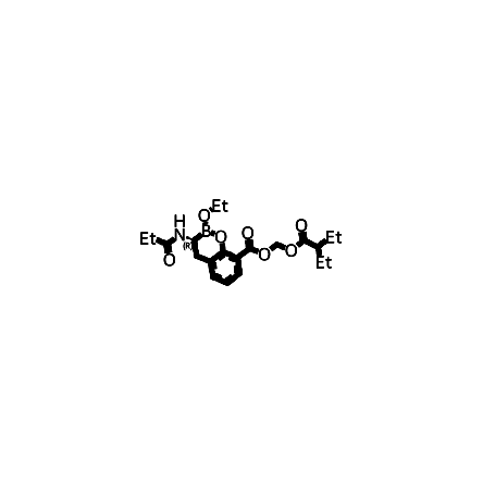 CCOB1Oc2c(cccc2C(=O)OCOC(=O)C(CC)CC)C[C@@H]1NC(=O)CC